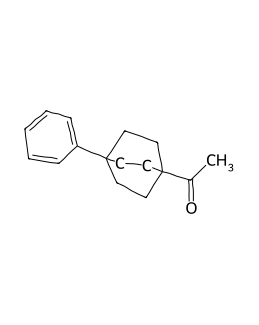 CC(=O)C12CCC(c3ccccc3)(CC1)CC2